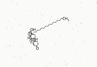 CCCCCCCCCCCCCCCC[C@]12CC[C@H]3[C@@H](CCC4=CC(=O)CC[C@@H]43)[C@@H]1CC[C@@H]2O